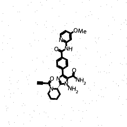 C#CC(=O)N1CCCC[C@H]1c1nc(-c2ccc(C(=O)Nc3cc(OC)ccn3)cc2)c(C(N)=O)n1N